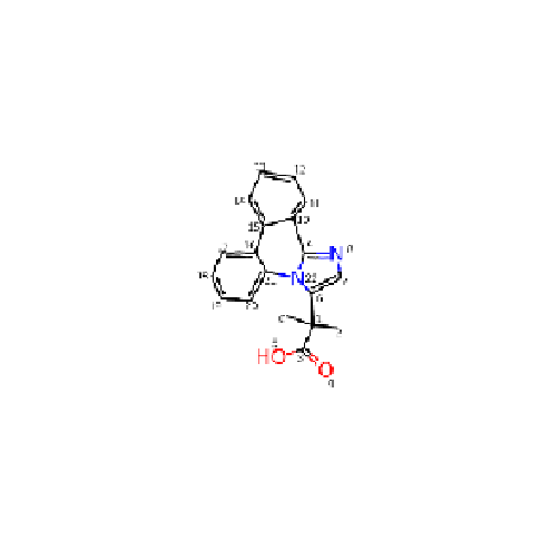 CC(C)(C(=O)O)c1cnc2c3ccccc3c3ccccc3n12